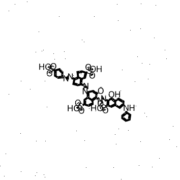 COc1cc(N=Nc2ccc(N=Nc3ccc(S(=O)(=O)O)cc3)c3ccc(S(=O)(=O)O)cc23)c2cc(S(=O)(=O)O)ccc2c1N=Nc1c(S(=O)(=O)O)cc2cc(Nc3ccccc3)ccc2c1O